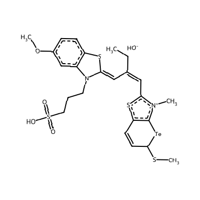 CCC(=Cc1sc2c([n+]1C)[Te]C(SC)C=C2)C=C1Sc2ccc(OC)cc2N1CCCS(=O)(=O)O.[OH-]